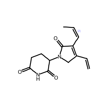 C=CC1=C(/C=C\C)C(=O)N(C2CCC(=O)NC2=O)C1